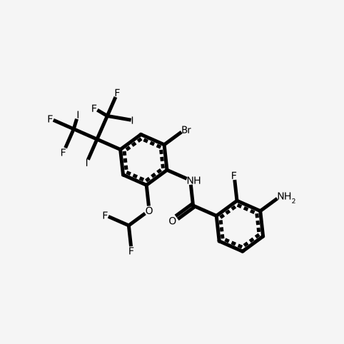 Nc1cccc(C(=O)Nc2c(Br)cc(C(I)(C(F)(F)I)C(F)(F)I)cc2OC(F)F)c1F